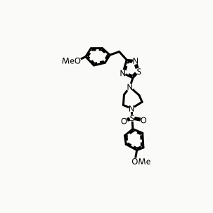 COc1ccc(Cc2nsc(N3CCN(S(=O)(=O)c4ccc(OC)cc4)CC3)n2)cc1